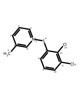 Cc1ccc[n+](Sc2cccc(Cl)c2Cl)c1